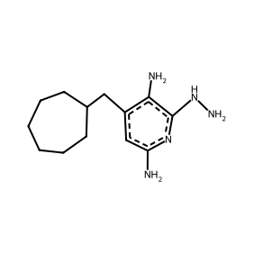 NNc1nc(N)cc(CC2CCCCCC2)c1N